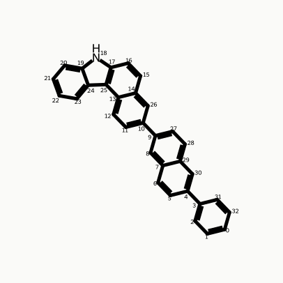 c1ccc(-c2ccc3cc(-c4ccc5c(ccc6[nH]c7ccccc7c65)c4)ccc3c2)cc1